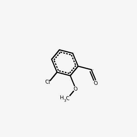 COc1c(Cl)cccc1[C]=O